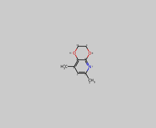 Cc1cc(C)c2c(n1)OCCO2